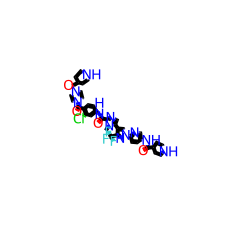 Cn1c(-c2cn(-c3ccc(NC(=O)C4CCNCC4)cn3)nc2C(F)(F)F)cnc1C(=O)Nc1ccc(C(=O)N2CCN(C(=O)C3CCNCC3)CC2)c(Cl)c1